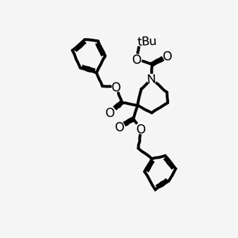 CC(C)(C)OC(=O)N1CCCC(C(=O)OCc2ccccc2)(C(=O)OCc2ccccc2)C1